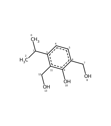 CC(C)c1ccc(CO)c(O)c1CO